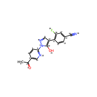 CC(=O)c1ccc(-n2ncc(-c3ccc(C#N)cc3F)c2O)nc1